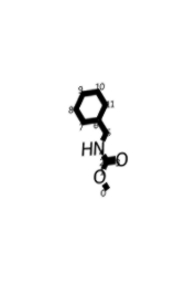 COC(=O)NCC1CCCCC1